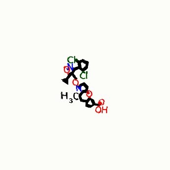 CC1Cc2ccc(C(=O)O)cc2Oc2ccc(OCc3c(-c4c(Cl)cccc4Cl)noc3C3CC3)nc21